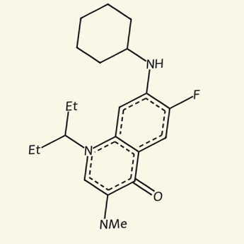 CCC(CC)n1cc(NC)c(=O)c2cc(F)c(NC3CCCCC3)cc21